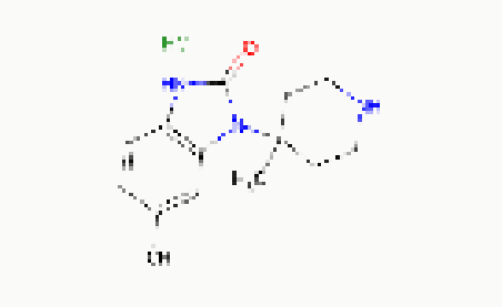 Cc1ccc2[nH]c(=O)n(C3(C)CCNCC3)c2c1.Cl